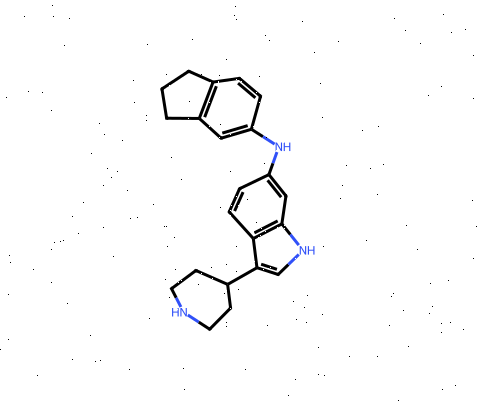 c1cc2c(cc1Nc1ccc3c(C4CCNCC4)c[nH]c3c1)CCC2